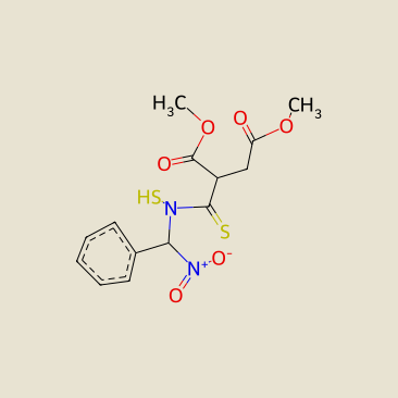 COC(=O)CC(C(=O)OC)C(=S)N(S)C(c1ccccc1)[N+](=O)[O-]